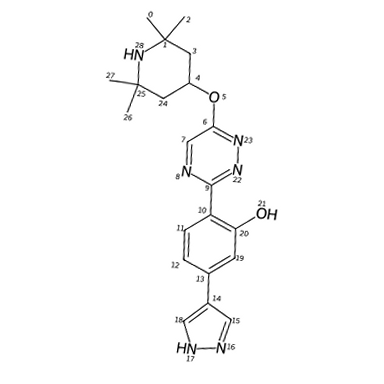 CC1(C)CC(Oc2cnc(-c3ccc(-c4cn[nH]c4)cc3O)nn2)CC(C)(C)N1